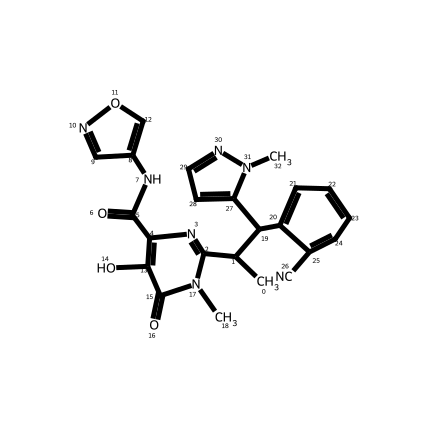 CC(c1nc(C(=O)Nc2cnoc2)c(O)c(=O)n1C)C(c1ccccc1C#N)c1ccnn1C